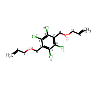 C=CCOCc1c(Cl)c(Cl)c(COCC=C)c(Cl)c1Cl